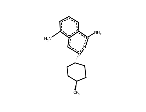 Nc1cccc2c(N)nc([C@H]3CC[C@H](C(F)(F)F)CC3)cc12